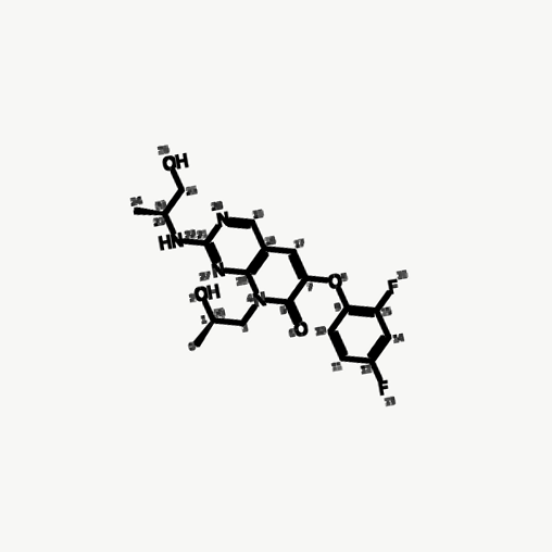 C[C@@H](O)Cn1c(=O)c(Oc2ccc(F)cc2F)cc2cnc(N[C@@H](C)CO)nc21